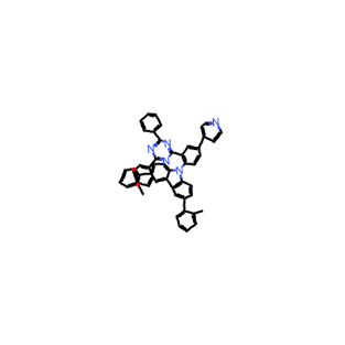 Cc1ccccc1-c1ccc2c(c1)c1cc(-c3ccccc3C)ccc1n2-c1ccc(-c2ccncc2)cc1-c1nc(-c2ccccc2)nc(-c2ccccc2)n1